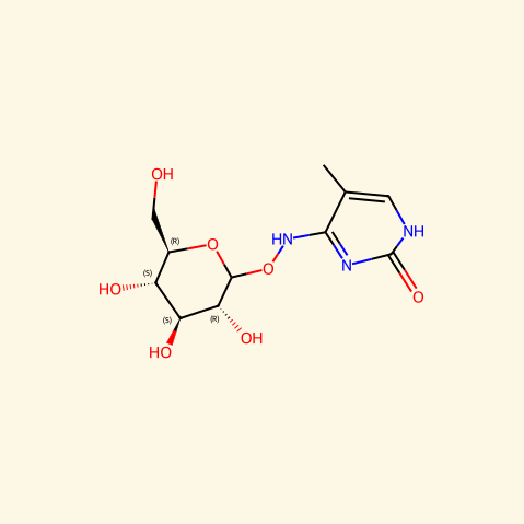 Cc1c[nH]c(=O)nc1NOC1O[C@H](CO)[C@@H](O)[C@H](O)[C@H]1O